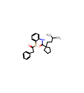 CC(C)CCC1(C(=O)Nc2ccccc2SC(=O)Cc2ccccc2)CCCC1